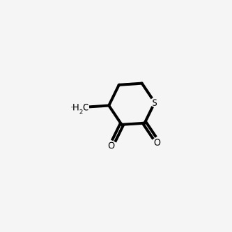 [CH2]C1CCSC(=O)C1=O